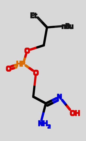 CCCCC(CC)CO[PH](=O)OCC(N)=NO